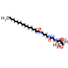 CCCCCCCCC=CCCCCCCCC(=O)NCCCCNC(=O)CCNC(=O)C(O)C(C)(C)CO